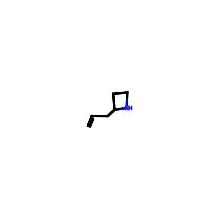 C=CCC1CCN1